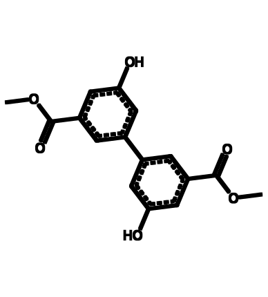 COC(=O)c1cc(O)cc(-c2cc(O)cc(C(=O)OC)c2)c1